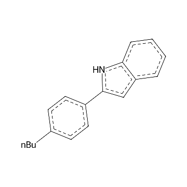 CCCCc1ccc(-c2cc3ccccc3[nH]2)cc1